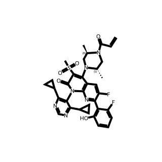 C=CC(=O)N1C[C@H](C)N(c2c(S(C)(=O)=O)c(=O)n(-c3c(C4CC4)ncnc3C3CC3)c3nc(-c4c(O)cccc4F)c(F)cc23)C[C@H]1C